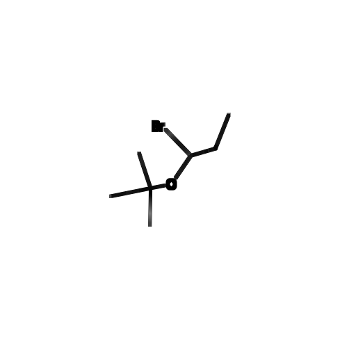 CCC(Br)OC(C)(C)C